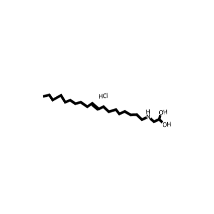 CCCCCCCCCC=CCCCCCCCCNCC(O)O.Cl